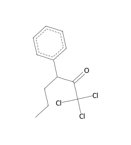 CCCC(C(=O)C(Cl)(Cl)Cl)c1ccccc1